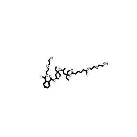 CCC(CC)(CC(C)OC(CC)(CC)CC(C)OC(=O)c1ccccc1C(=O)OCCOCCO)OC(=O)CCCCC(=O)OCCOCCO